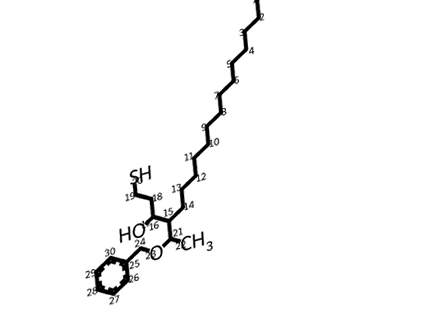 CCCCCCCCCCCCCCCC(C(O)CCS)C(C)OCc1ccccc1